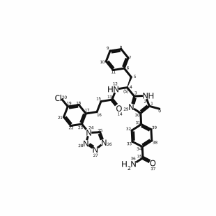 Cc1[nH]c([C@H](Cc2ccccc2)NC(=O)CCc2cc(Cl)ccc2-n2cnnn2)nc1-c1ccc(C(N)=O)cc1